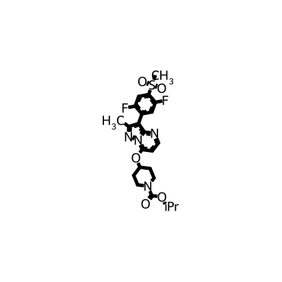 Cc1nn2c(OC3CCN(C(=O)OC(C)C)CC3)ccnc2c1-c1cc(F)c(S(C)(=O)=O)cc1F